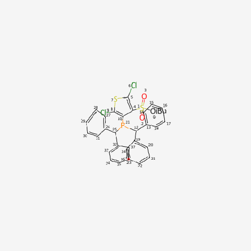 CC(C)COS(=O)(=O)c1c(Cl)sc(Cl)c1P(C(c1ccccc1)c1ccccc1)C(c1ccccc1)c1ccccc1